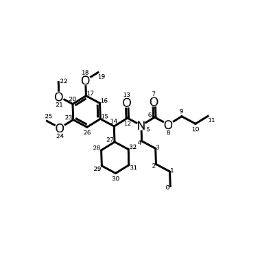 CCCCCN(C(=O)OCCC)C(=O)C(c1cc(OC)c(OC)c(OC)c1)C1CCCCC1